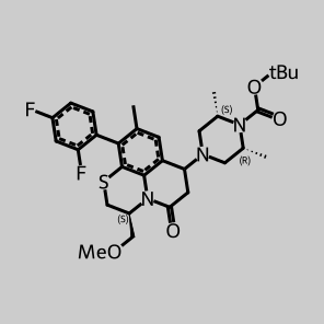 COC[C@H]1CSc2c(-c3ccc(F)cc3F)c(C)cc3c2N1C(=O)CC3N1C[C@@H](C)N(C(=O)OC(C)(C)C)[C@@H](C)C1